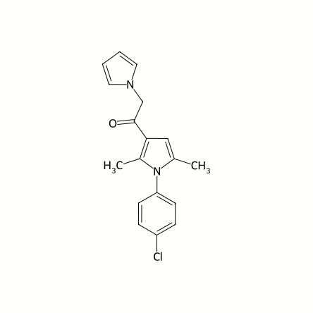 Cc1cc(C(=O)Cn2cccc2)c(C)n1-c1ccc(Cl)cc1